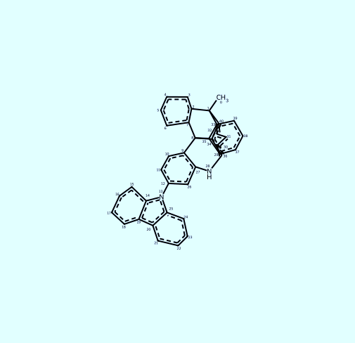 CC12c3ccccc3C3(c4ccc(-n5c6ccccc6c6ccccc65)cc4Nc4cccc1c43)c1ccccc12